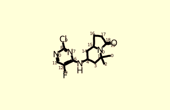 CC1(C)CC(Nc2nc(Cl)ncc2F)CC2CCC(=O)N21